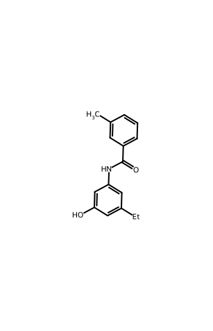 CCc1cc(O)cc(NC(=O)c2cccc(C)c2)c1